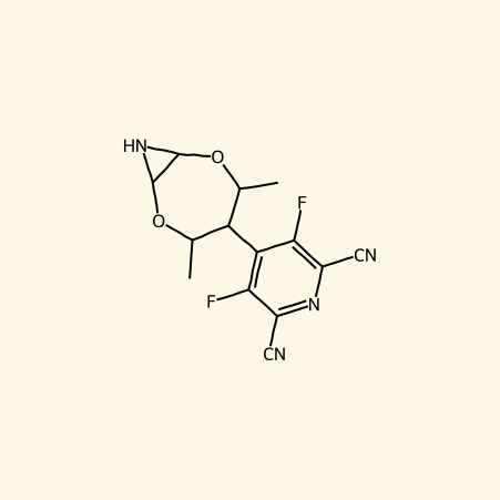 CC1OC2NC2OC(C)C1c1c(F)c(C#N)nc(C#N)c1F